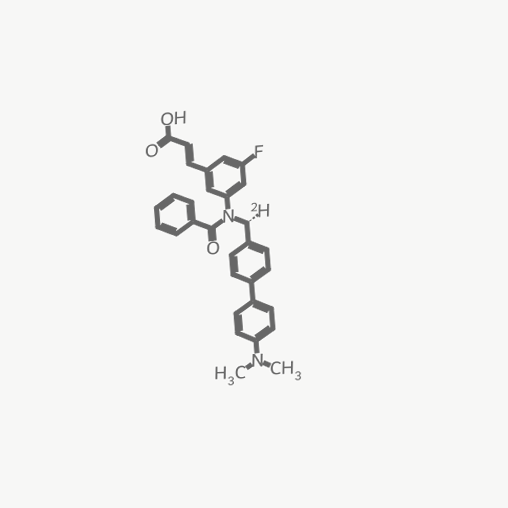 [2H][C@H](c1ccc(-c2ccc(N(C)C)cc2)cc1)N(C(=O)c1ccccc1)c1cc(F)cc(/C=C/C(=O)O)c1